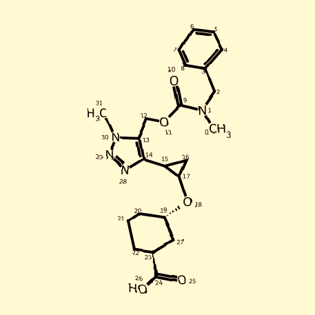 CN(Cc1ccccc1)C(=O)OCc1c(C2CC2O[C@H]2CCC[C@H](C(=O)O)C2)nnn1C